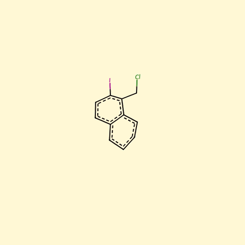 ClCc1c(I)ccc2ccccc12